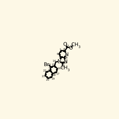 COC(=O)c1ccc2c(n1)nc(C)n2Cc1ccc2ccccc2c1Br